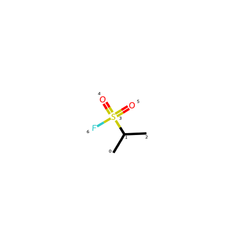 CC(C)S(=O)(=O)F